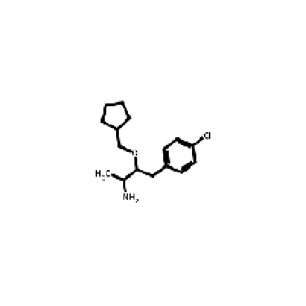 CC(N)C(Cc1ccc(Cl)cc1)OCC1CCCC1